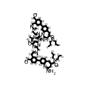 CCCN(CCC)OC1=Cc2ccc(-c3ccc(C=O)c(/C=N\N(C)Cc4nccn4C(C)C)c3)cc2N=C(NOc2cc(OC)nc(CN(C)/C=C\c3cc(-c4ccc5c(c4)N=C(N)CC(C(=O)N(CCC)CCC)=C5)ccc3C=O)n2)C1